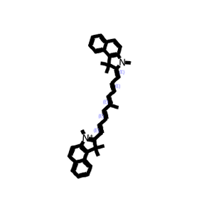 CC(/C=C/C=C/C1=[N+](C)c2ccc3ccccc3c2C1(C)C)=C\C=C\C=C1\N(C)c2ccc3ccccc3c2C1(C)C